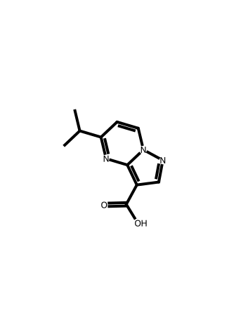 CC(C)c1ccn2ncc(C(=O)O)c2n1